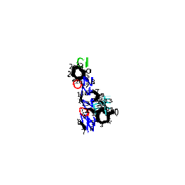 Cc1ccc(-n2nccn2)c(C(=O)N2CCN(c3nc4cc(Cl)ccc4o3)CC[C@H]2C(F)(F)F)c1